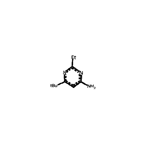 CCc1nc(N)cc(C(C)(C)C)n1